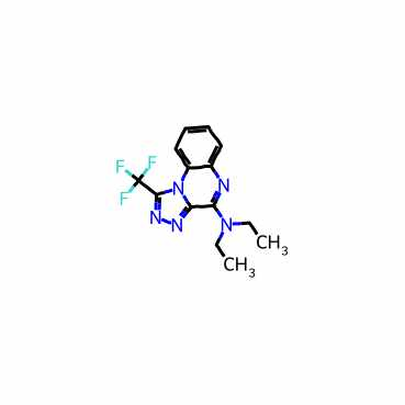 CCN(CC)c1nc2ccccc2n2c(C(F)(F)F)nnc12